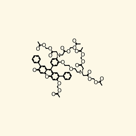 CC(=O)OCOC(=O)CN(CCOCCOc1cc(-c2c3cc(-c4ccccc4)c(=O)cc-3oc3cc(OCOC(C)=O)c(-c4ccccc4)cc23)ccc1N(CC(=O)OCOC(C)=O)CC(=O)OCOC(C)=O)CC(=O)OCOC(C)=O